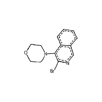 Brc1ncc2ccccc2c1N1CCOCC1